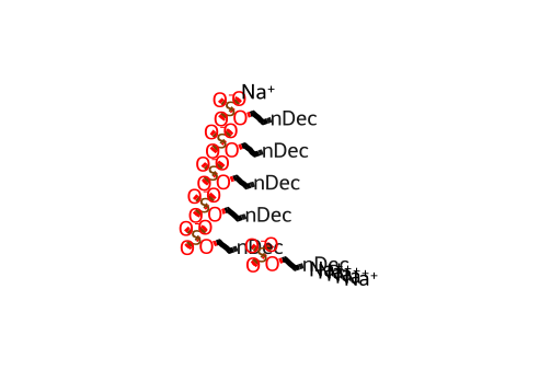 CCCCCCCCCCCCOS(=O)(=O)[O-].CCCCCCCCCCCCOS(=O)(=O)[O-].CCCCCCCCCCCCOS(=O)(=O)[O-].CCCCCCCCCCCCOS(=O)(=O)[O-].CCCCCCCCCCCCOS(=O)(=O)[O-].CCCCCCCCCCCCOS(=O)(=O)[O-].[Na+].[Na+].[Na+].[Na+].[Na+].[Na+]